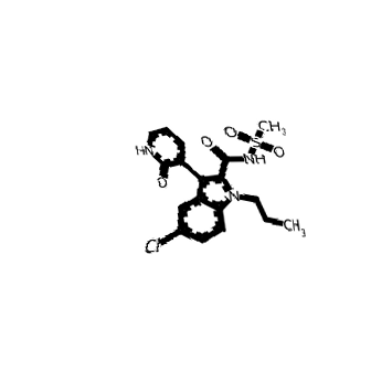 CCCn1c(C(=O)NS(C)(=O)=O)c(-c2ccc[nH]c2=O)c2cc(Cl)ccc21